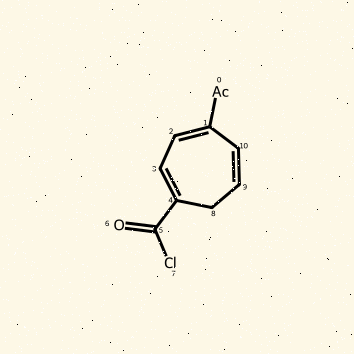 CC(=O)C1=CC=C(C(=O)Cl)CC=C1